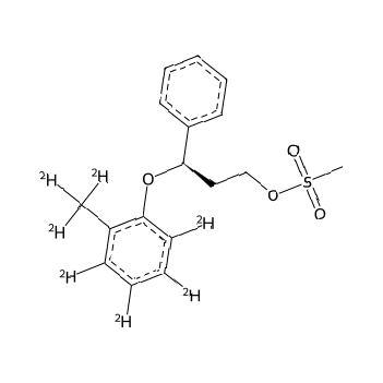 [2H]c1c([2H])c([2H])c(C([2H])([2H])[2H])c(O[C@H](CCOS(C)(=O)=O)c2ccccc2)c1[2H]